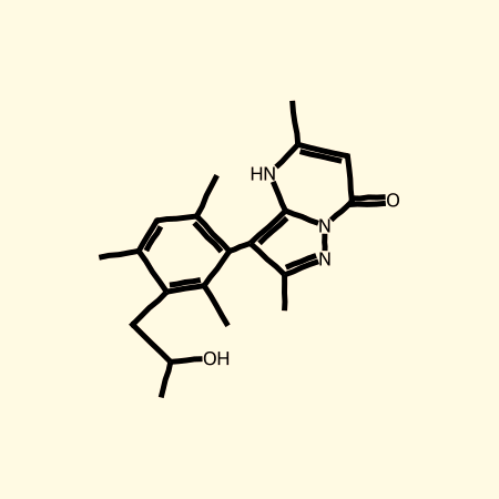 Cc1cc(=O)n2nc(C)c(-c3c(C)cc(C)c(CC(C)O)c3C)c2[nH]1